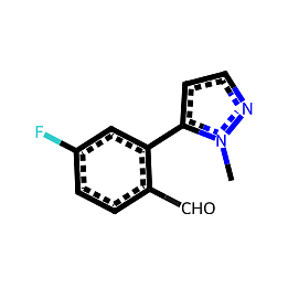 Cn1nccc1-c1cc(F)ccc1C=O